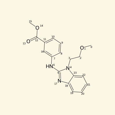 COCCn1c(Nc2cccc(C(=O)OC)c2)nc2ccccc21